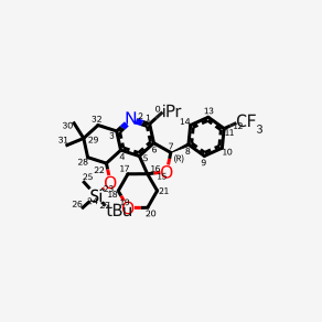 CC(C)c1nc2c(c3c1[C@@H](c1ccc(C(F)(F)F)cc1)OC31CCOCC1)C(O[Si](C)(C)C(C)(C)C)CC(C)(C)C2